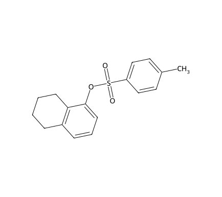 Cc1ccc(S(=O)(=O)Oc2cccc3c2CCCC3)cc1